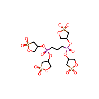 O=P(CCCP(=O)(OC1COS(=O)(=O)C1)OC1COS(=O)(=O)C1)(OC1COS(=O)(=O)C1)OC1COS(=O)(=O)C1